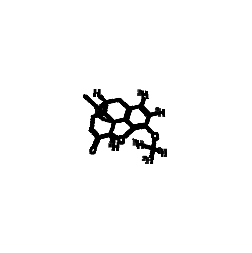 [2H]c1c([2H])c(OC([2H])([2H])[2H])c2c3c1C[C@@H]1[C@@H]4CCC(=O)C([2H])(O2)[C@]34CCN1C